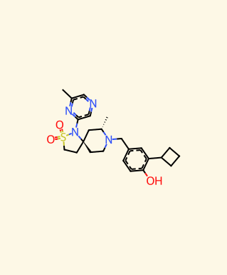 Cc1cncc(N2[C@@]3(CCN(Cc4ccc(O)c(C5CCC5)c4)[C@@H](C)C3)CCS2(=O)=O)n1